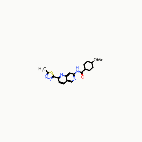 COC1CCC(C(=O)Nc2cc3nc(-c4nnc(C)s4)ccc3cn2)CC1